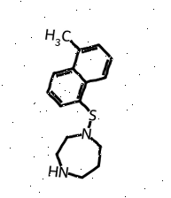 Cc1cccc2c(SN3CCCNCC3)cccc12